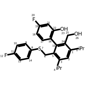 CC(C)c1cc(C(C)C)c(CSc2ccc(F)cc2)c(-c2ccc(F)cc2O)c1CO